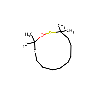 CC1(C)CCCCCCCCCC(C)(C)SO1